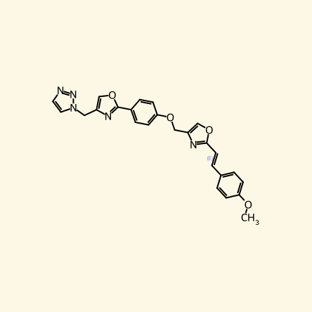 COc1ccc(/C=C/c2nc(COc3ccc(-c4nc(Cn5ccnn5)co4)cc3)co2)cc1